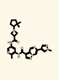 Cc1ncc(NC(=O)C2CN(C3CCCC3(C)C)C2)cc1NC(=O)c1cnn2cc(-c3cnn(C)c3)ncc12